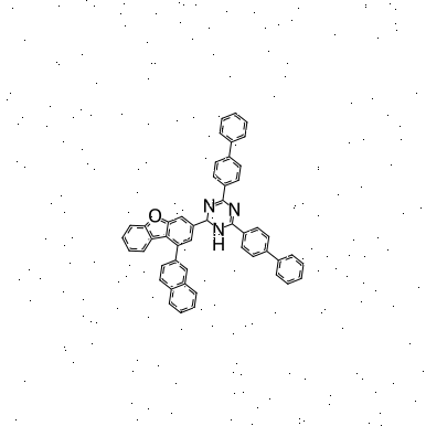 c1ccc(-c2ccc(C3=NC(c4cc(-c5ccc6ccccc6c5)c5c(c4)oc4ccccc45)NC(c4ccc(-c5ccccc5)cc4)=N3)cc2)cc1